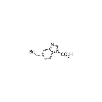 O=C(O)n1cnc2cc(CBr)ccc21